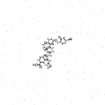 N#Cc1ccc(COc2ccc3c(n2)N2CCN(Cc4nc5ccc(C(=O)O)cc5n4C[C@@H]4CCO4)C[C@H]2CCO3)c(F)c1